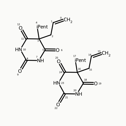 C=CCC1(C(C)CCC)C(=O)NC(=O)NC1=O.C=CCC1(C(C)CCC)C(=O)NC(=O)NC1=O